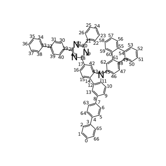 c1ccc(-c2ccc(-c3ccc4c(c3)c3ccc(-c5nc(-c6ccccc6)nc(-c6ccc(-c7ccccc7)cc6)n5)cc3n4-c3ccc4c5ccccc5c5ccccc5c4c3)cc2)cc1